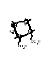 CC1=Cc2cc3[nH]c(cc4nc(cc5[nH]c(cc1n2)c(C)c5CCC(=O)O)C(CCC(=O)O)=C4C)cc3C.[Ag]